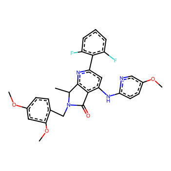 COc1ccc(Nc2cc(-c3c(F)cccc3F)nc3c2C(=O)N(Cc2ccc(OC)cc2OC)C3C)nc1